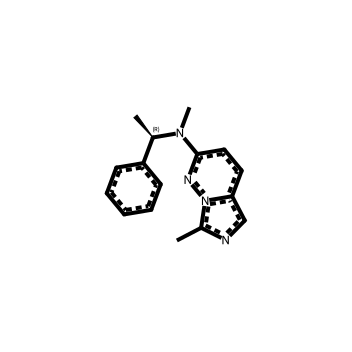 Cc1ncc2ccc(N(C)[C@H](C)c3ccccc3)nn12